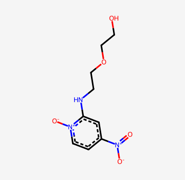 O=[N+]([O-])c1cc[n+]([O-])c(NCCOCCO)c1